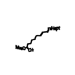 [CH]=C(CCCCCCCCCCCCCCC)OC